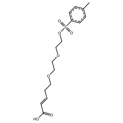 Cc1ccc(S(=O)(=O)OCCOCCOCC/C=C/C(=O)O)cc1